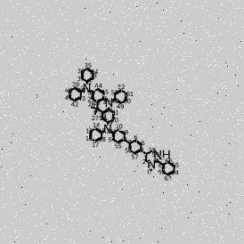 CN1CC(c2ccc(-c3ccc(N(c4ccccc4)c4ccc5c(c4)C(C)(C)c4cc(N(c6ccccc6)c6ccccc6)ccc4N5c4ccccc4)cc3)cc2)CNC1c1ccccc1